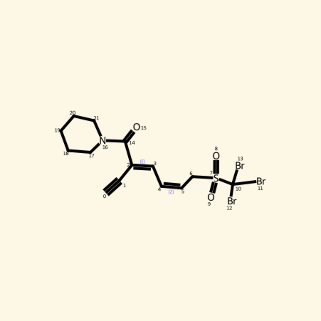 C#C/C(=C\C=C/CS(=O)(=O)C(Br)(Br)Br)C(=O)N1CCCCC1